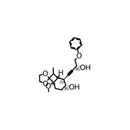 CO[C@]12CC[C@@H](O)[C@H](C#C[C@@H](O)COc3ccccc3)[C@H]1C(C)C21OCCO1